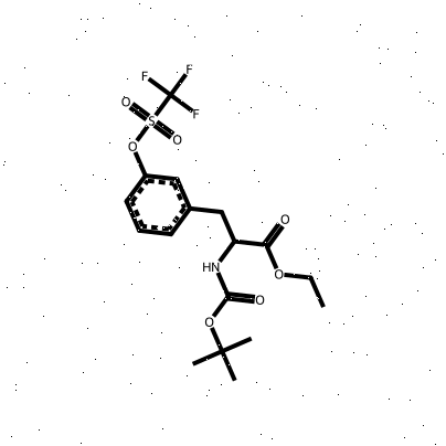 CCOC(=O)C(Cc1cccc(OS(=O)(=O)C(F)(F)F)c1)NC(=O)OC(C)(C)C